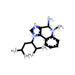 CC(C)CC(C(C)C)n1cnc2c1-c1ccccc1N(C)C2N